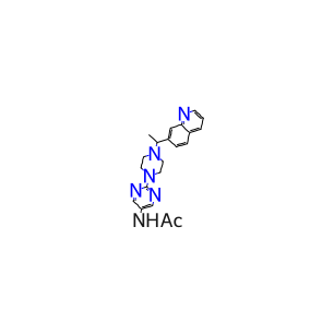 CC(=O)Nc1cnc(N2CCN(C(C)c3ccc4cccnc4c3)CC2)nc1